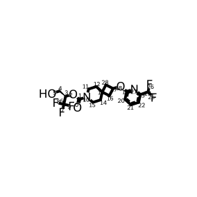 O=C(O[C@H](CO)C(F)(F)F)N1CCC2(CC1)CC(Oc1cccc(C(F)F)n1)C2